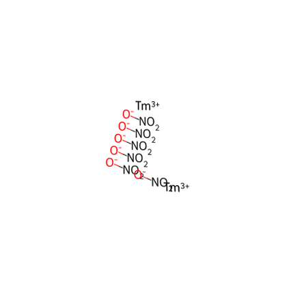 O=[N+]([O-])[O-].O=[N+]([O-])[O-].O=[N+]([O-])[O-].O=[N+]([O-])[O-].O=[N+]([O-])[O-].O=[N+]([O-])[O-].[Tm+3].[Tm+3]